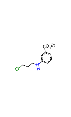 CCOC(=O)c1cccc(NCCCCl)c1